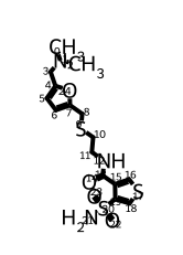 CN(C)Cc1ccc(CSCCNC(=O)c2cscc2S(N)(=O)=O)o1